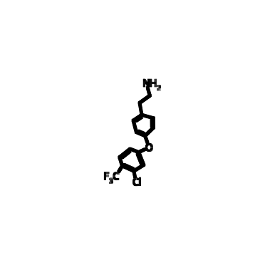 NCCc1ccc(Oc2ccc(C(F)(F)F)c(Cl)c2)cc1